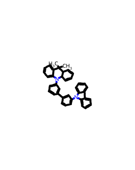 CC1(C)c2ccccc2N(c2cccc(-c3cccc(-n4c5ccccc5c5ccccc54)c3)c2)C2C=CC=CC21